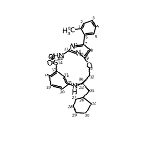 Cc1ccccc1-c1cc2nc(n1)NS(=O)(=O)c1cccc(c1)N[C@H](CC1CCCCC1)CO2